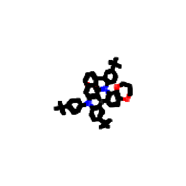 Cc1cc2c3c(c1)N(c1ccc(C(C)(C)C)cc1-c1ccccc1)c1c(ccc4c1OCCCO4)B3c1cc(C(C)(C)C)ccc1N2c1ccc(C(C)(C)C)cc1